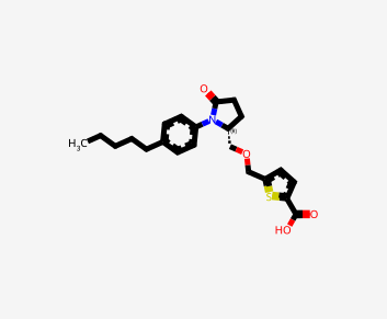 CCCCCc1ccc(N2C(=O)CC[C@@H]2COCc2ccc(C(=O)O)s2)cc1